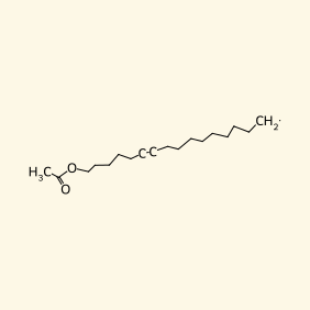 [CH2]CCCCCCCCCCCCCCCOC(C)=O